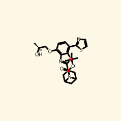 C[C@H](O)COc1ccc(-c2nccs2)c2oc(N3CC4CC(C3)N4C(=O)OC(C)(C)C)nc12